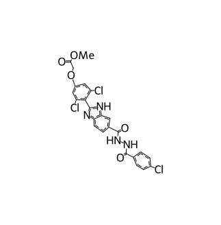 COC(=O)COc1cc(Cl)c(-c2nc3ccc(C(=O)NNC(=O)c4ccc(Cl)cc4)cc3[nH]2)c(Cl)c1